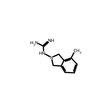 Cc1cccc2c1CN(NC(=N)N)C2